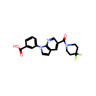 O=C(O)c1cccc(-n2ccc3cc(C(=O)N4CCC(F)(F)CC4)cnc32)c1